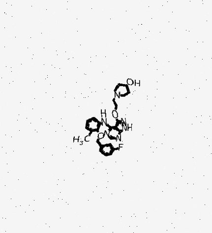 Cc1cccc(Nc2ncnc3[nH]nc(OCCN4CCC(O)CC4)c23)c1OCc1cccc(F)c1